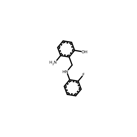 Nc1cccc(O)c1CNc1ccccc1F